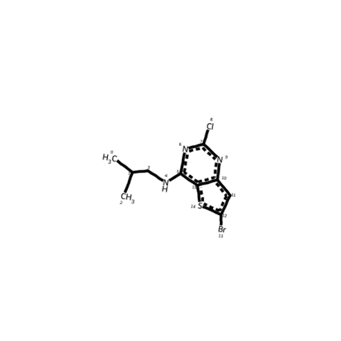 CC(C)CNc1nc(Cl)nc2cc(Br)sc12